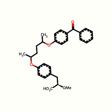 CO[C@H](Cc1ccc(OC(C)CCC(C)Oc2ccc(C(=O)c3ccccc3)cc2)cc1)C(=O)O